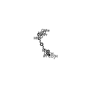 COC(=O)N[C@H](C(=O)N1CCC[C@H]1c1nc(CCc2ccc(CCc3cn([C@@H]4CCCN4C(=O)[C@H](C(C)C)N(C)C(=O)O)cn3)cc2)c[nH]1)C(C)C